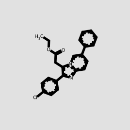 CCOC(=O)Cc1c(-c2ccc(Cl)cc2)nc2ccc(-c3ccccc3)cn12